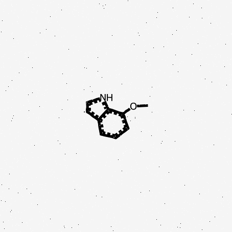 COc1cccc2[c]c[nH]c12